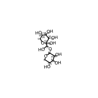 OC(O[C@H]1OC[C@@H](O)[C@H](O)[C@H]1O)[C@]1(O)OC[C@@H](O)[C@@H](O)[C@@H]1O